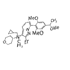 CCc1nn2c(-c3c(OC)cc(C(C)OC)cc3OC)cccc2c1[N+](C)(CC1CC1)C1CCOCC1